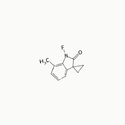 Cc1cccc2c1N(F)C(=O)C21CC1